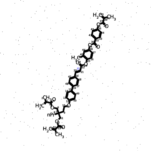 C=C(C)C(=O)OCC(CCC)(CCOc1ccc(-c2ccc(/C=C/C(=O)Oc3ccc(OC(=O)c4ccc(OC(=O)C(=C)C)cc4)cc3C)cc2)cc1)COC(=O)C(=C)C